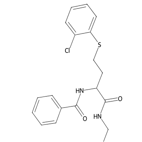 N#CCNC(=O)C(CCSc1ccccc1Cl)NC(=O)c1ccccc1